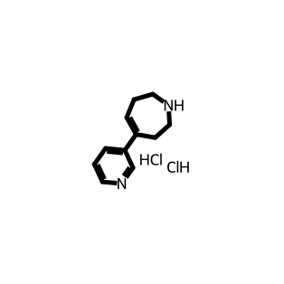 C1=C(c2cccnc2)CCNCC1.Cl.Cl